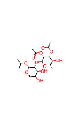 CC(=O)O[C@@H]1[C@@H](O)[C@H](C)O[C@@H](O[C@H]2C(OC(C)C)OC[C@H](O)[C@@H]2O)[C@@H]1OC(C)=O